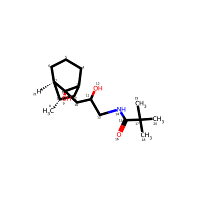 C[C@H]1CC2CCC[C@H]1[C@@]2(O)CC(O)CNC(=O)C(C)(C)C